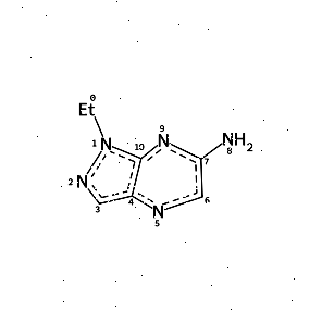 CCn1ncc2ncc(N)nc21